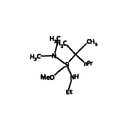 CCCC(C)(C)[Si](NCC)(OC)N(C)C